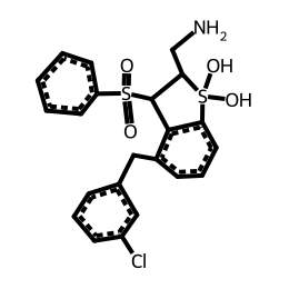 NCC1C(S(=O)(=O)c2ccccc2)c2c(Cc3cccc(Cl)c3)cccc2S1(O)O